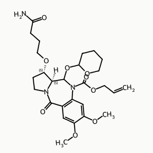 C=CCOC(=O)N1c2cc(OC)c(OC)cc2C(=O)N2CC[C@H](OCCCC(N)=O)[C@H]2C1OC1CCCCO1